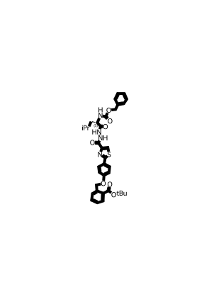 CC(C)C[C@H](NC(=O)OCc1ccccc1)C(=O)NNC(=O)c1csc(-c2ccc(OCc3ccccc3C(=O)OC(C)(C)C)cc2)n1